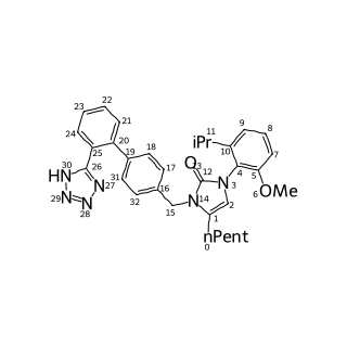 CCCCCc1cn(-c2c(OC)cccc2C(C)C)c(=O)n1Cc1ccc(-c2ccccc2-c2nnn[nH]2)cc1